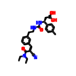 CCN(CC)C(=O)C(C#N)=Cc1cccc(CCNC(=O)N[C@@H](CB(O)O)c2ccc(C)cc2)c1